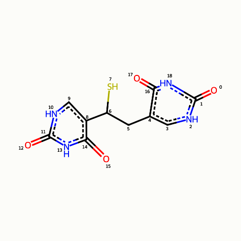 O=c1[nH]cc(CC(S)c2c[nH]c(=O)[nH]c2=O)c(=O)[nH]1